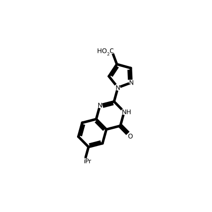 CC(C)c1ccc2nc(-n3cc(C(=O)O)cn3)[nH]c(=O)c2c1